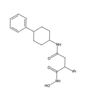 CC(C)C(CC(=O)NC1CCC(c2ccccc2)CC1)C(=O)NO